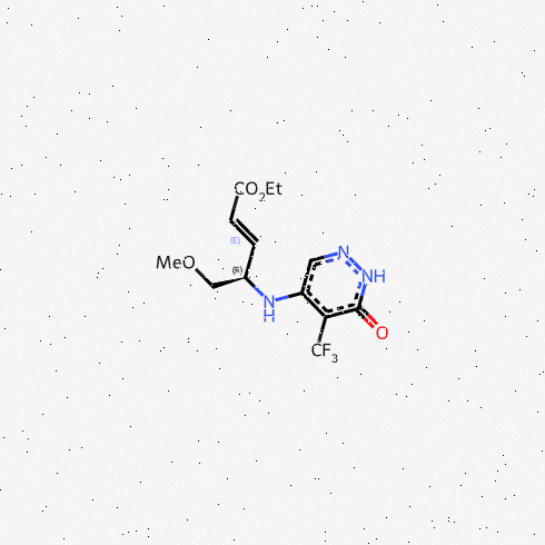 CCOC(=O)/C=C/[C@H](COC)Nc1cn[nH]c(=O)c1C(F)(F)F